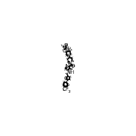 Cc1c(NCC2CC[C@@H](c3ccc(C(F)(F)F)cc3)O2)ncnc1C(=O)N1CCC(N2CCC(N(C)S(C)(=O)=O)CC2)CC1